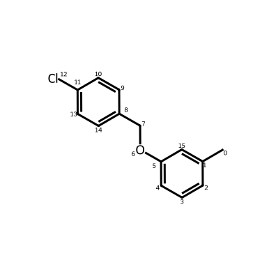 Cc1cccc(OCc2ccc(Cl)cc2)c1